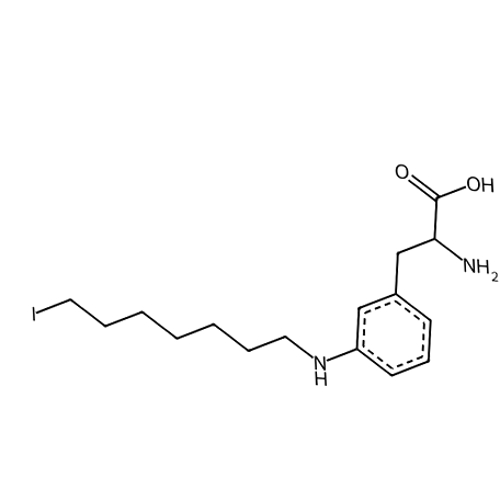 NC(Cc1cccc(NCCCCCCCI)c1)C(=O)O